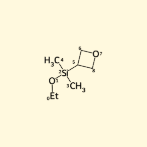 CCO[Si](C)(C)C1COC1